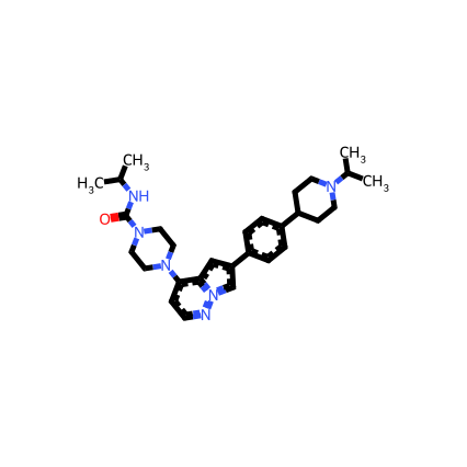 CC(C)NC(=O)N1CCN(c2ccnn3cc(-c4ccc(C5CCN(C(C)C)CC5)cc4)cc23)CC1